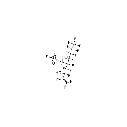 O=[SH](=O)F.OC(F)(C(F)=C(F)F)C(F)(F)C(F)(C(F)(F)F)C(O)(F)C(F)(F)C(F)(F)C(F)(F)F